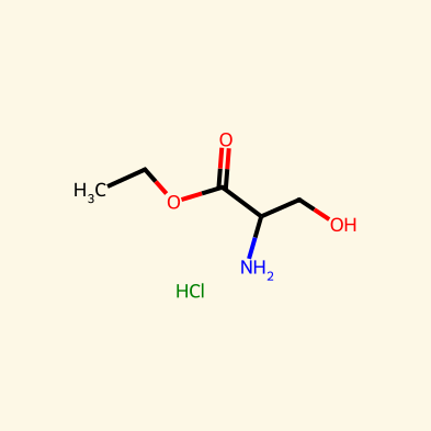 CCOC(=O)C(N)CO.Cl